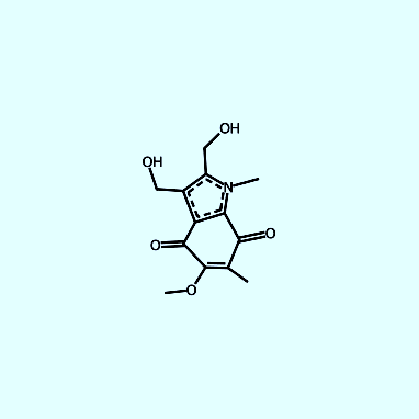 COC1=C(C)C(=O)c2c(c(CO)c(CO)n2C)C1=O